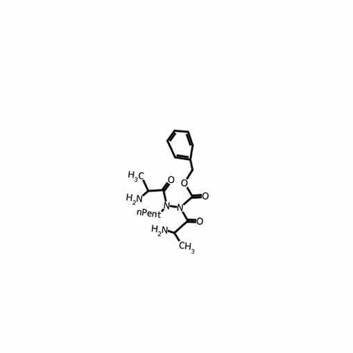 CCCCCN(C(=O)C(C)N)N(C(=O)OCc1ccccc1)C(=O)C(C)N